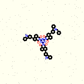 Cn1c2ccccc2c2cc(-c3ccc4c5c(cccc35)C(=O)N(c3nc(N5C(=O)c6cccc7c(-c8ccc9c(c8)c8ccccc8n9C)ccc(c67)C5=O)nc(N5C(=O)c6cccc7c(-c8ccc9c(c8)c8ccccc8n9Cc8ccccc8)ccc(c67)C5=O)n3)C4=O)ccc21